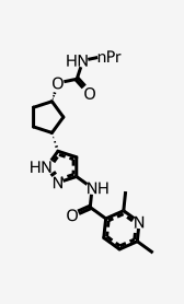 CCCNC(=O)O[C@H]1CC[C@@H](c2cc(NC(=O)c3ccc(C)nc3C)n[nH]2)C1